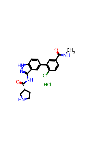 CNC(=O)c1ccc(Cl)c(-c2ccc3[nH]nc(NC(=O)[C@@H]4CCNC4)c3c2)c1.Cl